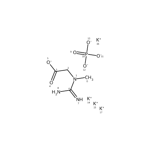 CN(CC(=O)[O-])C(=N)N.O=P([O-])([O-])[O-].[K+].[K+].[K+].[K+]